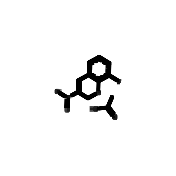 CC(=O)O.O=[N+]([O-])C1=Cc2cccc(F)c2OC1